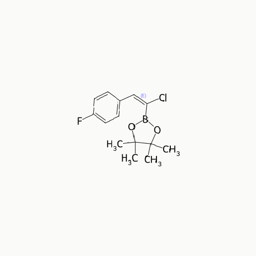 CC1(C)OB(/C(Cl)=C\c2ccc(F)cc2)OC1(C)C